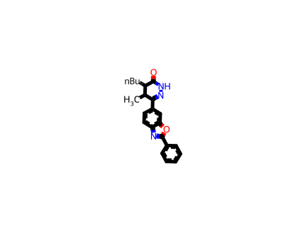 CCCCC1C(=O)NN=C(c2ccc3nc(-c4ccccc4)oc3c2)C1C